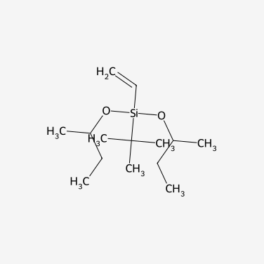 C=C[Si](OC(C)CC)(OC(C)CC)C(C)(C)C